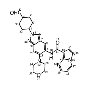 O=CC1CCC(n2cc3cc(NC(=O)c4cnn5cccnc45)c(N4CCOCC4)cc3n2)CC1